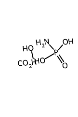 NP(=O)(O)O.O=C(O)O